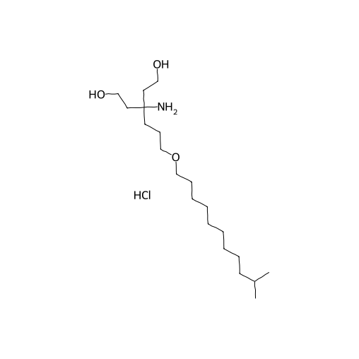 CC(C)CCCCCCCCCOCCCC(N)(CCO)CCO.Cl